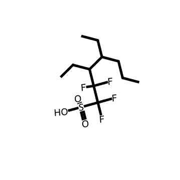 CCCC(CC)C(CC)C(F)(F)C(F)(F)S(=O)(=O)O